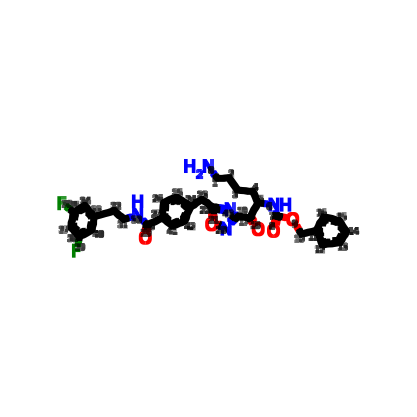 NCCCCC(NC(=O)OCc1ccccc1)C(=O)c1noc(Cc2ccc(C(=O)NCCc3cc(F)cc(F)c3)cc2)n1